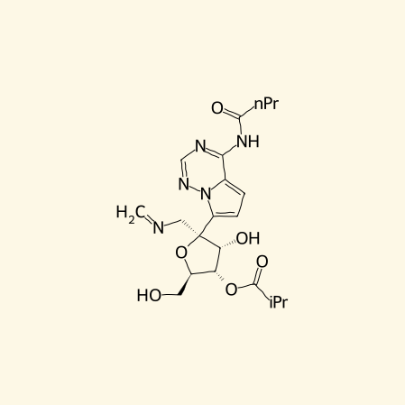 C=NC[C@@]1(c2ccc3c(NC(=O)CCC)ncnn23)O[C@H](CO)[C@@H](OC(=O)C(C)C)[C@H]1O